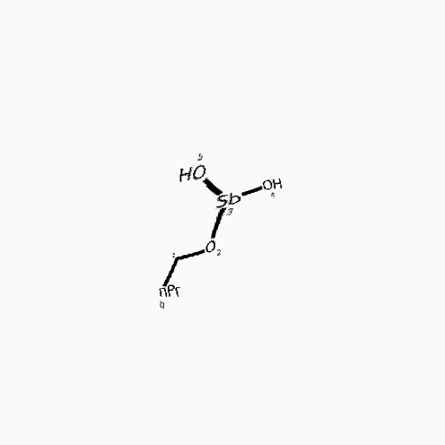 CCCC[O][Sb]([OH])[OH]